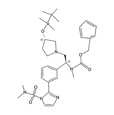 CN(C(=O)OCc1ccccc1)[C@H](CN1CC[C@H](O[Si](C)(C)C(C)(C)C)C1)c1cccc(-c2nccn2S(=O)(=O)N(C)C)c1